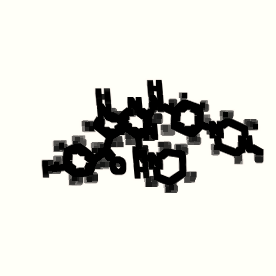 CN1CCN(c2ccc(Nc3nc(NN4CCCCC4)c4c(C(=O)c5ccc(F)cc5)c[nH]c4n3)cc2)CC1